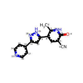 Cc1[nH]c(=O)c(C#N)cc1-c1cc(-c2ccncc2)n[nH]1